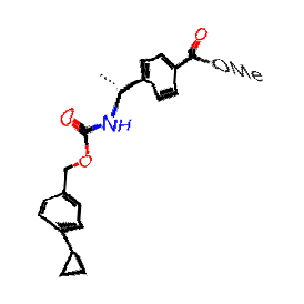 COC(=O)c1ccc([C@@H](C)NC(=O)OCc2ccc(C3CC3)cc2)cc1